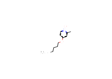 COCCCCOc1cc[n+]([O-])c(C)c1